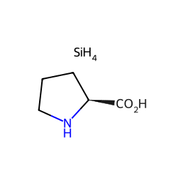 O=C(O)[C@@H]1CCCN1.[SiH4]